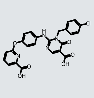 O=C(O)c1cccc(Oc2ccc(Nc3ncc(C(=O)O)c(=O)n3Cc3ccc(Cl)cc3)cc2)n1